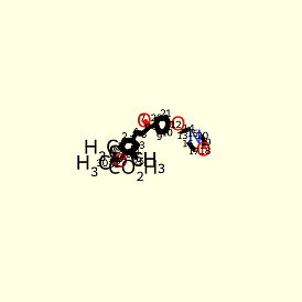 Cc1cc(C=CC(=O)c2ccc(OCCN3CCOCC3)cc2)cc(C)c1OC(C)(C)C(=O)O